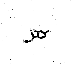 Cc1ccc2c(SC#N)c[nH]c2c1